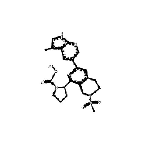 Cc1c[nH]c2ncc(-c3cc4c(c(C5CCCN5C(=O)OC(C)(C)C)c3)CN(S(C)(=O)=O)CC4)cc12